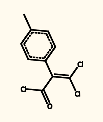 Cc1ccc(C(C(=O)Cl)=C(Cl)Cl)cc1